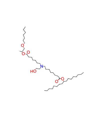 CCCCCCCCC(CCCCCCCC)OC(=O)CCCCCCCN(CCO)CCCCCCC(=O)OC(C)COCCCCCCC